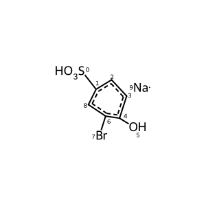 O=S(=O)(O)c1ccc(O)c(Br)c1.[Na]